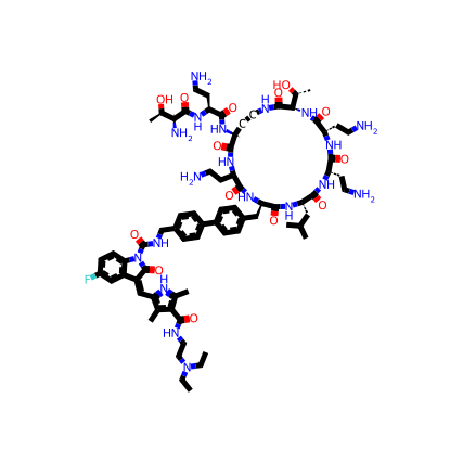 CCN(CC)CCNC(=O)c1c(C)[nH]c(/C=C2\C(=O)N(C(=O)NCc3ccc(-c4ccc(C[C@H]5NC(=O)C(CCN)NC(=O)[C@@H](NC(=O)[C@H](CCN)NC(=O)[C@@H](N)[C@@H](C)O)CCNC(=O)[C@H]([C@@H](C)O)NC(=O)[C@H](CCN)NC(=O)[C@H](CCN)NC(=O)[C@H](CC(C)C)NC5=O)cc4)cc3)c3ccc(F)cc32)c1C